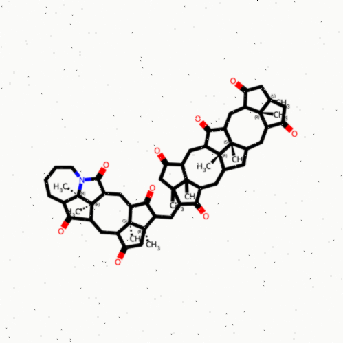 CC12CC(=O)C3CC4C(=O)C5CC6C(=O)C[C@]7(C)CC(=O)C(CC8CC(CC(C(=O)C1CC1C(=O)C9CC%10C(=O)N%11CCCCC%12C(=O)C(CC%13C(=O)C[C@@]1(C)[C@@]%139C)[C@@]%10(C)[C@@]%12%11C)C32C)[C@@]4(C)[C@@]85C)[C@]67C